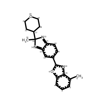 Cc1cccc2oc(-c3ccc4c(c3)=NC(C)(C3CCOCC3)N=4)nc12